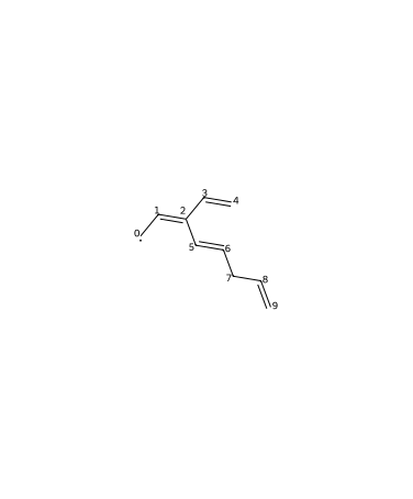 [CH2]C=C(C=C)C=CCC=C